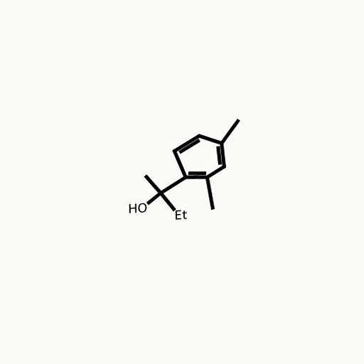 CCC(C)(O)c1ccc(C)cc1C